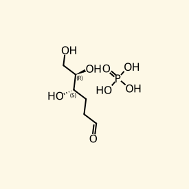 O=CCC[C@H](O)[C@H](O)CO.O=P(O)(O)O